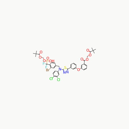 CC(C)(C)C(=O)OCOC(=O)c1cccc(Oc2cccc(-c3nnc(N(Cc4ccc(C(F)(F)P(=O)(O)OCOC(=O)C(C)(C)C)c(Br)c4)c4ccc(Cl)c(Cl)c4)s3)c2)c1